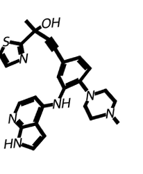 CN1CCN(c2ccc(C#CC(C)(O)c3nccs3)cc2Nc2ccnc3[nH]ccc23)CC1